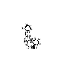 c1ccc(CN2C[C@@H]3CCNc4ccccc4[C@H]3C2)cc1